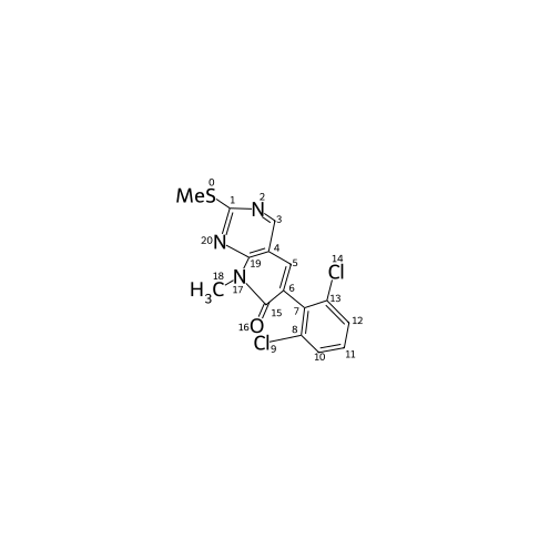 CSc1ncc2cc(-c3c(Cl)cccc3Cl)c(=O)n(C)c2n1